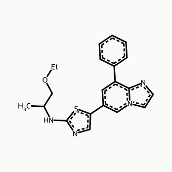 CCOCC(C)Nc1ncc(-c2cc(-c3ccccc3)c3nccn3c2)s1